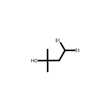 CCC(CC)CC(C)(C)O